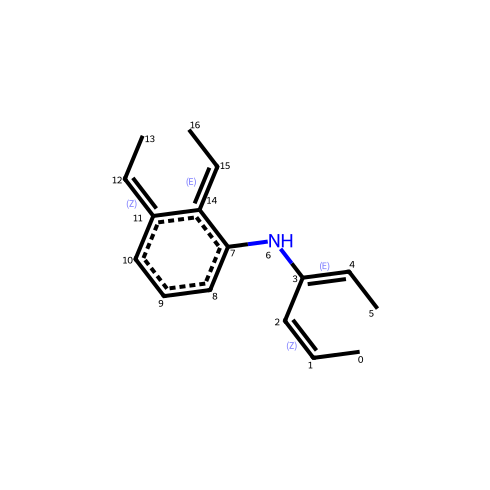 C/C=C\C(=C/C)Nc1cccc(=C/C)/c1=C\C